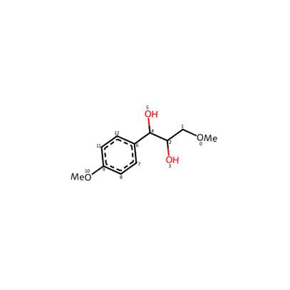 COCC(O)C(O)c1ccc(OC)cc1